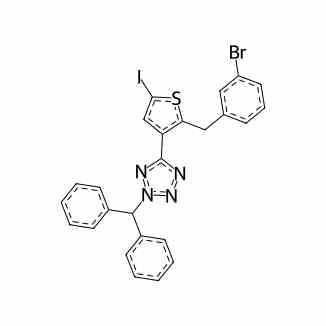 Brc1cccc(Cc2sc(I)cc2-c2nnn(C(c3ccccc3)c3ccccc3)n2)c1